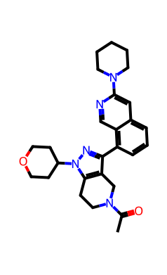 CC(=O)N1CCc2c(c(-c3cccc4cc(N5CCCCC5)ncc34)nn2C2CCOCC2)C1